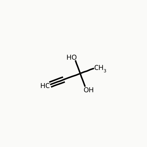 C#CC(C)(O)O